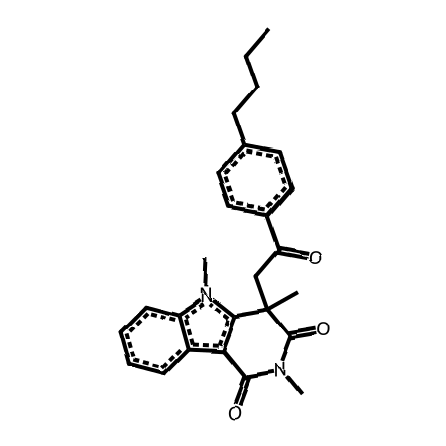 CCCCc1ccc(C(=O)CC2(C)C(=O)N(C)C(=O)c3c2n(C)c2ccccc32)cc1